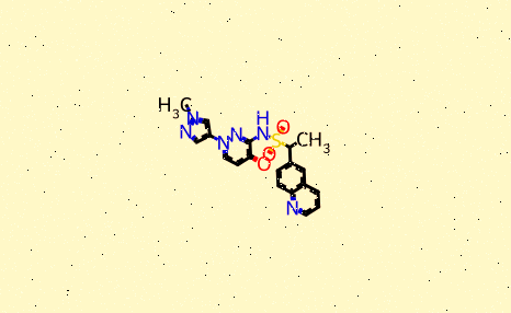 CC(c1ccc2ncccc2c1)S(=O)(=O)Nc1nn(-c2cnn(C)c2)ccc1=O